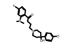 CN(C)c1cc(F)ccc1C(=O)CCCN1CCC(O)(c2ccc(Cl)cc2)CC1